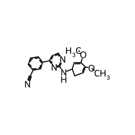 COC1=CCC(Nc2nccc(-c3cccc(C#N)c3)n2)C=C1OC